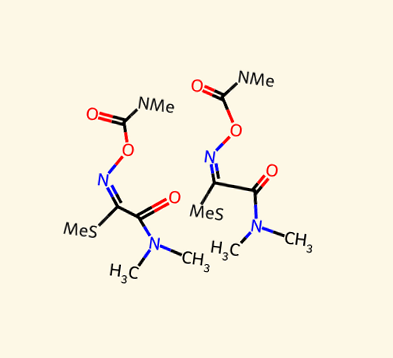 CNC(=O)ON=C(SC)C(=O)N(C)C.CNC(=O)ON=C(SC)C(=O)N(C)C